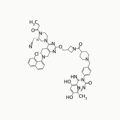 C=CC(=O)N1CCN(c2nc(OCC3CN(C(=O)C4CCN(Cc5ccc(N(C(=N)c6cc(C)c(O)cc6O)C(N)=O)cc5)CC4)C3)nc3c2CCN(c2cccc4cccc(Cl)c24)C3)C[C@@H]1CC#N